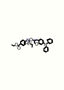 CCN/C(=N\c1ccc(C(=O)OCC)cc1)O/C(C=O)=C/c1ccc(N(c2ccccc2)c2ccccc2)cc1